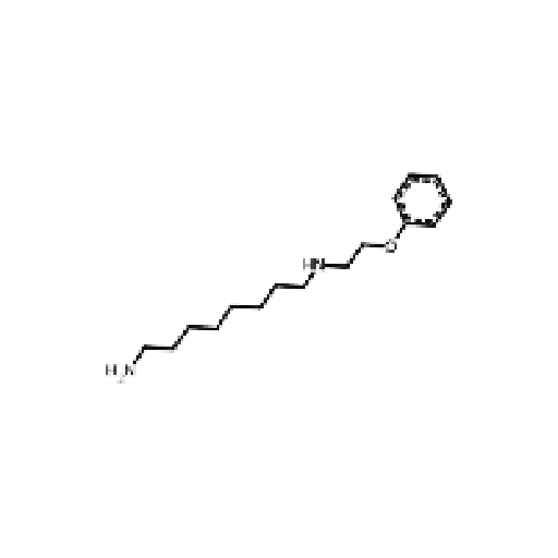 NCCCCCCCCNCCOc1ccccc1